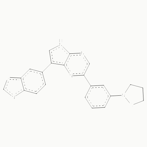 c1cc(-c2cnc3[nH]cc(-c4ccc5ncsc5c4)c3n2)cc(N2CCCS2)c1